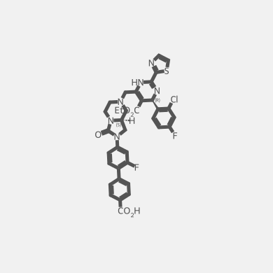 CCOC(=O)C1=C(CN2CCN3C(=O)N(c4ccc(-c5ccc(C(=O)O)cc5)c(F)c4)C[C@@H]3C2)NC(c2nccs2)=N[C@H]1c1ccc(F)cc1Cl